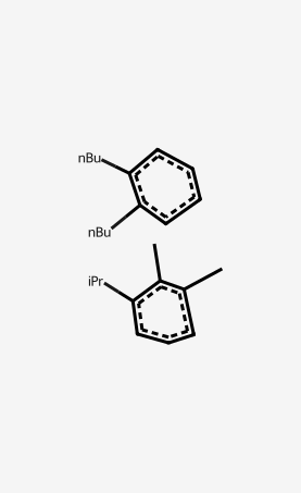 CCCCc1ccccc1CCCC.Cc1cccc(C(C)C)c1C